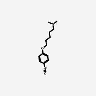 [C-]#[N+]c1ccc(OCCCCCN(C)C)cc1